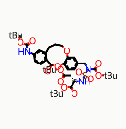 CC(C)(C)OC(=O)C[C@H](NS(=O)(=O)N(Cc1ccc2c(c1)OCCCc1cc(NC(=O)OC(C)(C)C)ccc1C(=O)O2)C(=O)OC(C)(C)C)C(=O)OC(C)(C)C